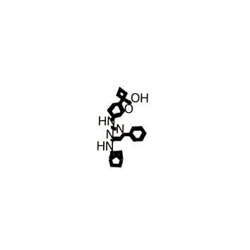 O=C(O)C1(c2ccc(Nc3nc(NC4CC5CCC4C5)cc(-c4ccccc4)n3)cc2)CCC1